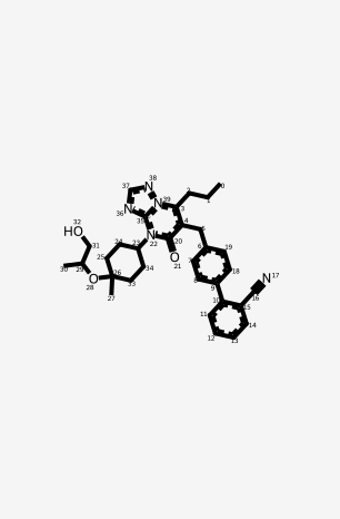 CCCc1c(Cc2ccc(-c3ccccc3C#N)cc2)c(=O)n(C2CCC(C)(OC(C)CO)CC2)c2ncnn12